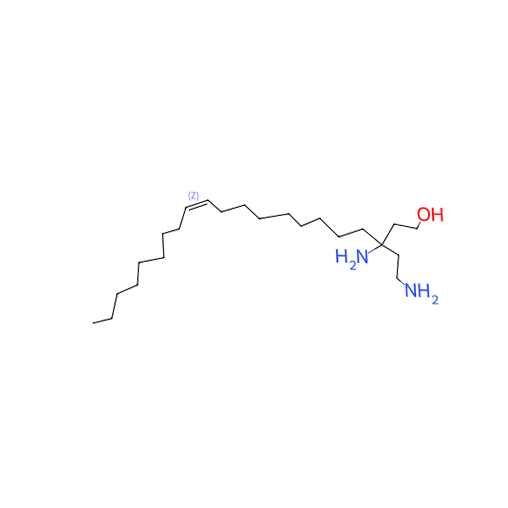 CCCCCCCC/C=C\CCCCCCCCC(N)(CCN)CCO